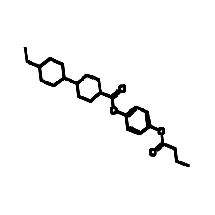 CCCC(=O)Oc1ccc(OC(=O)C2CCC(C3CCC(CC)CC3)CC2)cc1